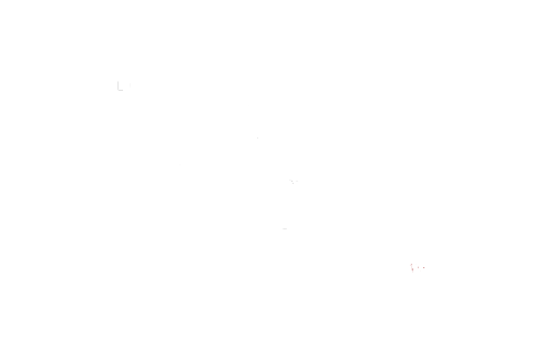 CCC1CCC2C(CCC3CC(Br)CCC32)C1